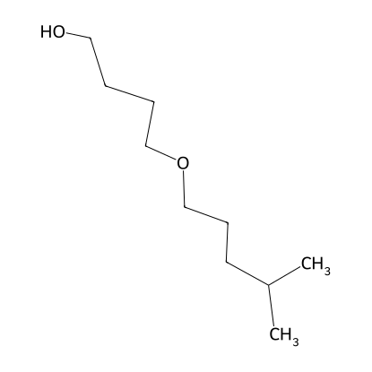 CC(C)CCCOCCCCO